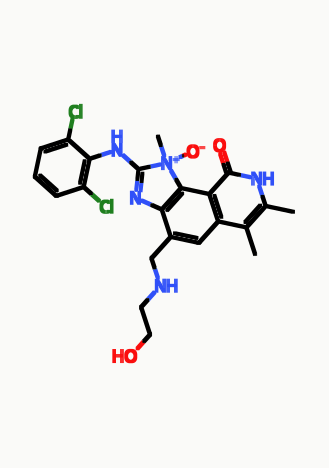 Cc1[nH]c(=O)c2c3c(c(CNCCO)cc2c1C)N=C(Nc1c(Cl)cccc1Cl)[N+]3(C)[O-]